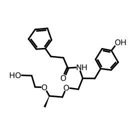 C[C@H](COCC(Cc1ccc(O)cc1)NC(=O)CCc1ccccc1)OCCO